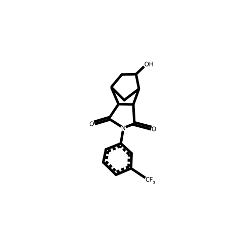 O=C1C2C3CC(O)C(C3)C2C(=O)N1c1cccc(C(F)(F)F)c1